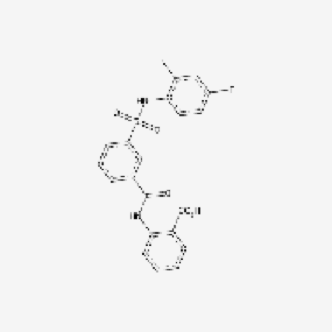 Cc1cc(F)ccc1NS(=O)(=O)c1cccc(C(=O)Nc2ccccc2C(=O)O)c1